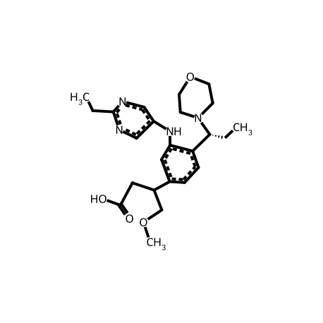 CCc1ncc(Nc2cc(C(COC)CC(=O)O)ccc2[C@@H](CC)N2CCOCC2)cn1